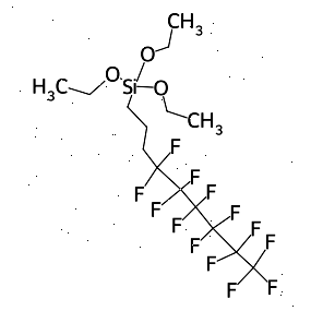 CCO[Si](CCCC(F)(F)C(F)(F)C(F)(F)C(F)(F)C(F)(F)C(F)(F)F)(OCC)OCC